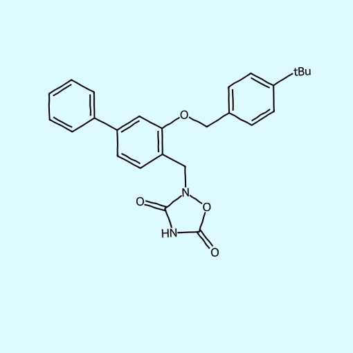 CC(C)(C)c1ccc(COc2cc(-c3ccccc3)ccc2Cn2oc(=O)[nH]c2=O)cc1